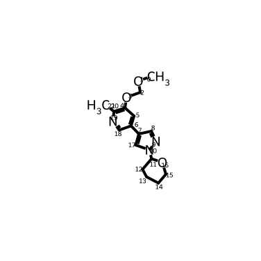 COCOc1cc(-c2cnn(C3CCCCO3)c2)cnc1C